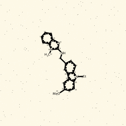 CCn1c2ccc(CNc3nc4ccccc4n3C)cc2c2cc(OC)ccc21